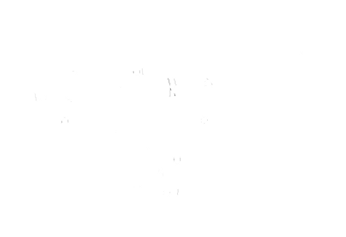 CCCCCCOC(=O)Nc1cc(S(=O)(=O)O)cc2cc(S(=O)(=O)O)cc(O)c12